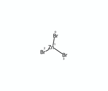 [Br][Zn]([Br])[Br]